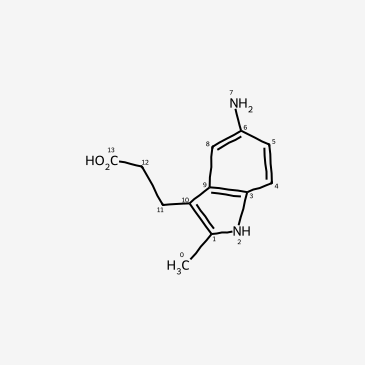 Cc1[nH]c2ccc(N)cc2c1CCC(=O)O